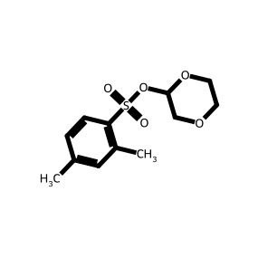 Cc1ccc(S(=O)(=O)OC2COCCO2)c(C)c1